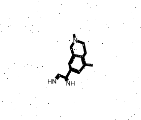 Cc1cc(C(=N)C=N)cc2c1CCN(C)C2